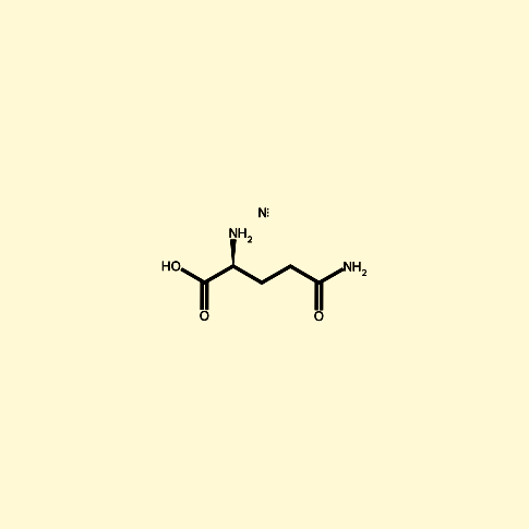 NC(=O)CC[C@H](N)C(=O)O.[N]